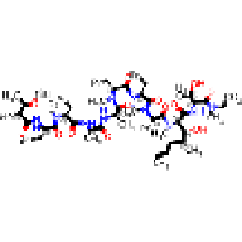 CC=CC[C@@H](C)[C@@H](O)[C@@H](C(=O)N[C@H](C(=O)N(C)CC(=O)O)[C@@H](C)O)N(C)C(=O)[C@H](C(C)C)N(C)C(=O)[C@H](CC(C)C)NC(=O)[C@H](CC(C)C)N(C)C(=O)[C@@H](C)NC(=O)[C@H](C)NC(=O)[C@H](CC(C)C)N(C)C(=O)[C@H](CC(C)C)NC(=O)[C@@H](NC)C(C)OC(C)(C)C